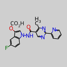 Cc1nc(-c2ccccn2)ncc1C(=O)Nn1cc(OC(=O)O)c2cc(F)ccc21